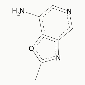 Cc1nc2cncc(N)c2o1